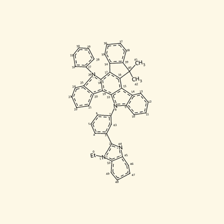 CCn1c(-c2cccc(-n3c4ccccc4c4c5c(c6c(c7ccccc7n6-c6ccccc6)c43)-c3ccccc3C5(C)C)c2)nc2ccccc21